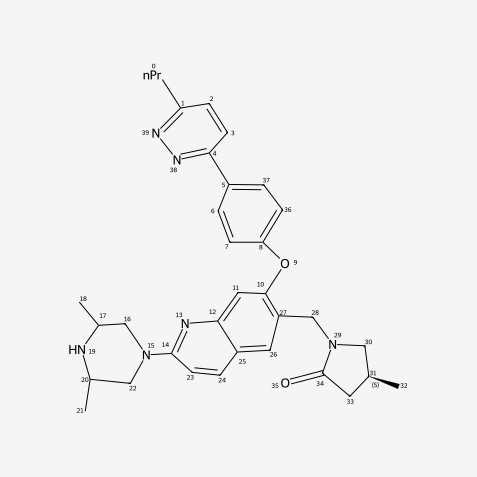 CCCc1ccc(-c2ccc(Oc3cc4nc(N5CC(C)NC(C)C5)ccc4cc3CN3C[C@@H](C)CC3=O)cc2)nn1